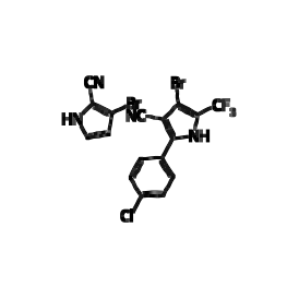 N#Cc1[nH]ccc1Br.N#Cc1c(-c2ccc(Cl)cc2)[nH]c(C(F)(F)F)c1Br